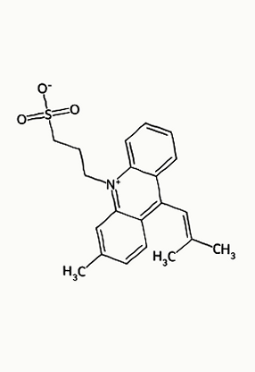 CC(C)=Cc1c2ccccc2[n+](CCCS(=O)(=O)[O-])c2cc(C)ccc12